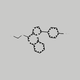 CSc1ccc(-c2cnc3c(NCC(C)C)nc4ccccc4n23)cc1